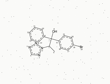 CC(n1ncnn1)C(O)(c1ccccc1)c1ccc(Br)cc1